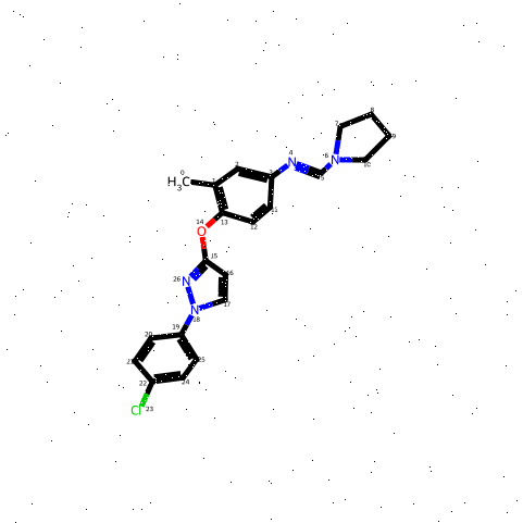 Cc1cc(/N=C/N2CCCC2)ccc1Oc1ccn(-c2ccc(Cl)cc2)n1